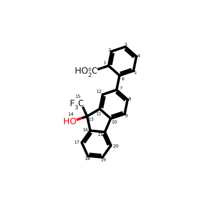 O=C(O)c1ccccc1-c1ccc2c(c1)C(O)(C(F)(F)F)c1ccccc1-2